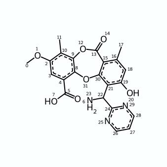 COc1cc(C(=O)O)c2c(c1C)OC(=O)c1c(C)cc(O)c(C(N)c3ncccn3)c1O2